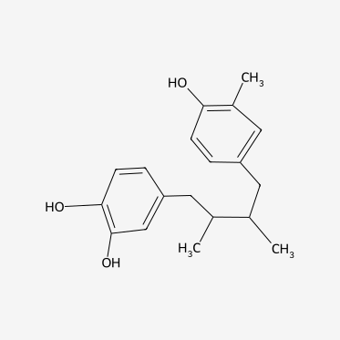 Cc1cc(CC(C)C(C)Cc2ccc(O)c(O)c2)ccc1O